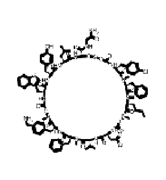 CCCC[C@H]1C(=O)N(C)CC(=O)N[C@@H](CC(=O)O)C(=O)N[C@@H](C(C)C)C(=O)N(C)[C@@H](Cc2ccccc2)C(=O)N[C@@H](Cc2ccc(CN)cc2)C(=O)N(C)CC(=O)N[C@@H](Cc2csc3ccccc23)C(=O)N[C@@H](Cc2ccc(O)cc2)C(=O)N[C@@H](CC(C)C)C(=O)N[C@H](C(=O)NCC(N)=O)CSCC(=O)N[C@@H](Cc2ccc(Cl)cc2)C(=O)N(C)[C@@H](Cc2ccccc2)C(=O)N1C